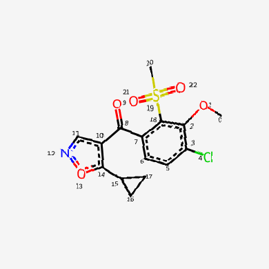 COc1c(Cl)ccc(C(=O)c2cnoc2C2CC2)c1S(C)(=O)=O